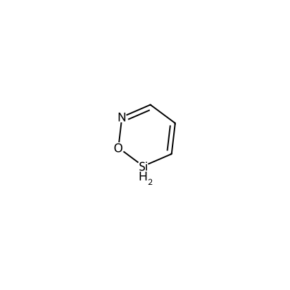 C1=C[SiH2]ON=C1